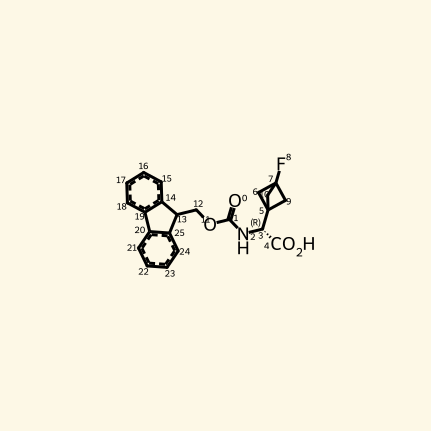 O=C(N[C@@H](C(=O)O)C12CC(F)(C1)C2)OCC1c2ccccc2-c2ccccc21